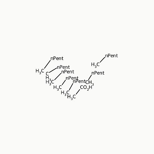 CC(=O)O.CCCCCC.CCCCCC.CCCCCC.CCCCCC.CCCCCC.CCCCCC.CCCCCC